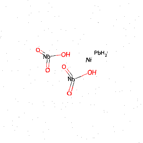 [Ni].[O]=[Nb](=[O])[OH].[O]=[Nb](=[O])[OH].[PbH2]